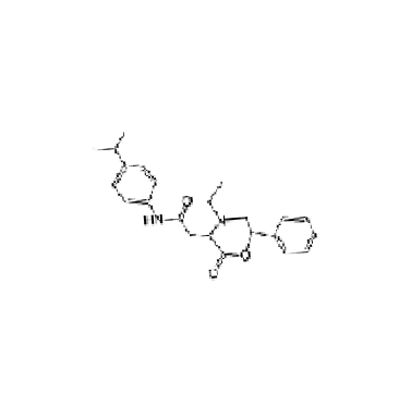 CCN1CC(c2ccccc2)OC(=O)C1CC(=O)Nc1ccc(C(C)C)cc1